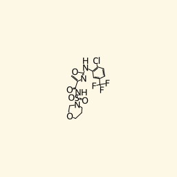 O=C(NS(=O)(=O)N1CCCOCC1)c1coc(Nc2cc(C(F)(F)F)ccc2Cl)n1